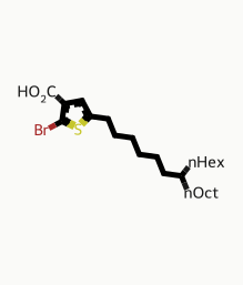 CCCCCCCCC(CCCCCC)CCCCCCc1cc(C(=O)O)c(Br)s1